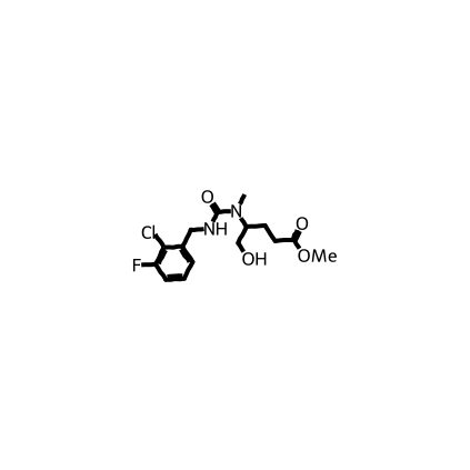 COC(=O)CCC(CO)N(C)C(=O)NCc1cccc(F)c1Cl